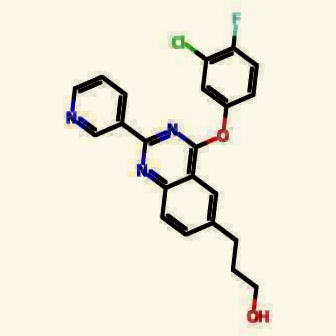 OCCCc1ccc2nc(-c3cccnc3)nc(Oc3ccc(F)c(Cl)c3)c2c1